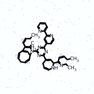 CC/C=C\C1=C(C)N(c2nc(C3=CC(C(/C=C\CC)=N/CC)NC=CC3)nc(-c3ccnc(-c4ccccn4)c3)n2)C2C=C1/C=C\C/C=C\2